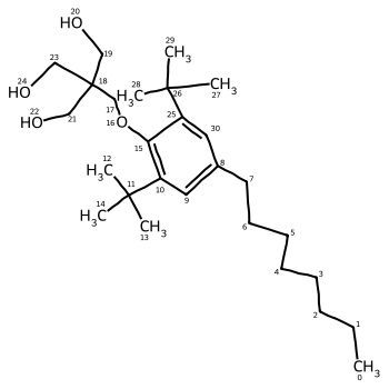 CCCCCCCCc1cc(C(C)(C)C)c(OCC(CO)(CO)CO)c(C(C)(C)C)c1